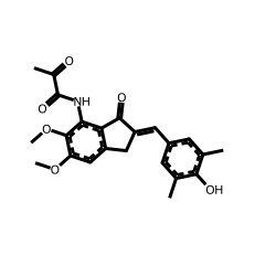 COc1cc2c(c(NC(=O)C(C)=O)c1OC)C(=O)C(=Cc1cc(C)c(O)c(C)c1)C2